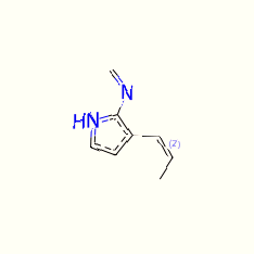 C=Nc1[nH]ccc1/C=C\C